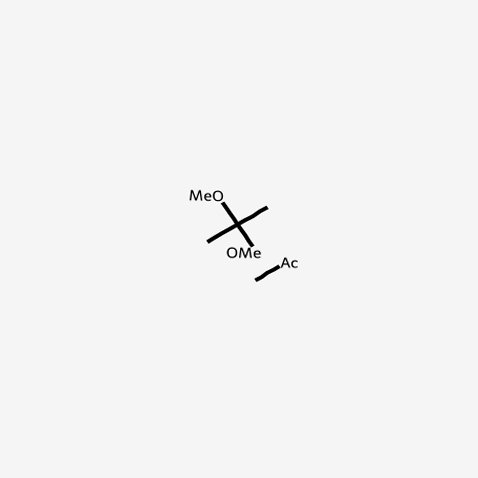 CC(C)=O.COC(C)(C)OC